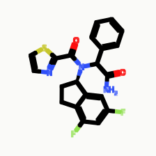 NC(=O)C(c1ccccc1)N(C(=O)c1nccs1)[C@@H]1CCc2c(F)cc(F)cc21